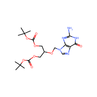 CC(C)(C)OC(=O)OCC(COC(=O)OC(C)(C)C)OCn1cnc2c(=O)[nH]c(N)nc21